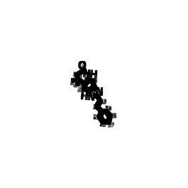 CC1(C)CC(=O)Nc2cc3nc(C=Cc4ccccc4)[nH]c3cc21